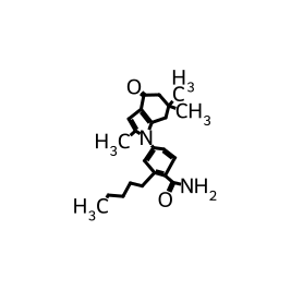 CCCCCc1cc(-n2c(C)cc3c2CC(C)(C)CC3=O)ccc1C(N)=O